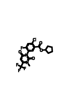 Cn1c(C(F)(F)F)cc(=O)n(-c2cc(C(=O)OC3CCCC3)c(Cl)cc2F)c1=O